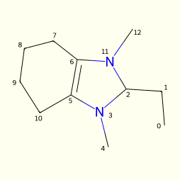 CCC1N(C)C2=C(CCCC2)N1C